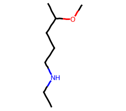 CCNCCCC(C)OC